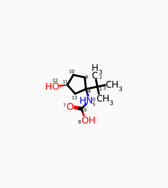 CC(C)(C)C1(NC(=O)O)CC[C@H](O)C1